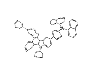 c1ccc(-c2ccc3sc4c(c3c2)c2ccccc2c2c4c3cc(-c4ccc(N(c5cccc6ccccc56)c5cccc6ccccc56)cc4)ccc3n2-c2ccccc2)cc1